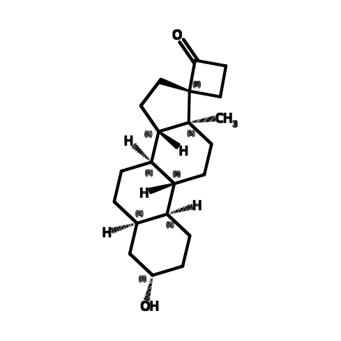 C[C@]12CC[C@H]3[C@@H](CC[C@@H]4C[C@@H](O)CC[C@@H]43)[C@@H]1CC[C@@]21CCC1=O